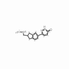 CCCNCC1Cc2ccc(-c3ccc(=O)[nH]n3)cc2C1